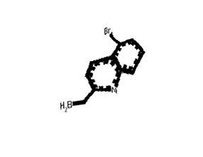 BCc1ccc2c(Br)cccc2n1